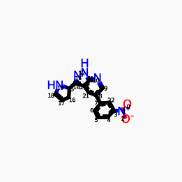 O=[N+]([O-])c1cccc(-c2cnc3[nH]nc(C4CC=CN4)c3c2)c1